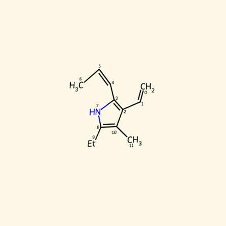 C=Cc1c(/C=C\C)[nH]c(CC)c1C